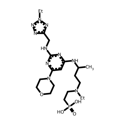 CCN(CCC(C)Nc1cc(N2CCOCC2)nc(NCc2nnn(CC)n2)n1)CCP(=O)(O)O